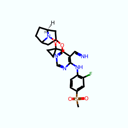 CC1(ON2C3CC[C@H]2CC(Oc2ncnc(Nc4ccc(S(C)(=O)=O)cc4F)c2C=N)C3)CC1